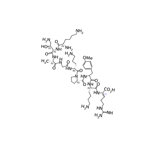 COc1ccc(CC(NC(=O)[C@@H]2CCCN2C(=O)[C@@H](CCCN)NC(=O)CNC(=O)[C@H](C)NC(=O)[C@@H](NC(=O)[C@@H](N)CCCCN)[C@@H](O)CN)C(=O)N[C@@H](CCCCN)C(=O)N/C(=C\CCNC(=N)N)C(=O)O)cc1